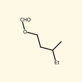 CCC(C)CCO[C]=O